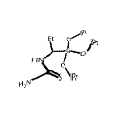 CCC(NC(N)=S)[Si](OC(C)C)(OC(C)C)OC(C)C